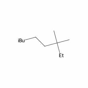 [CH2]CC(C)(C)CCC(C)CC